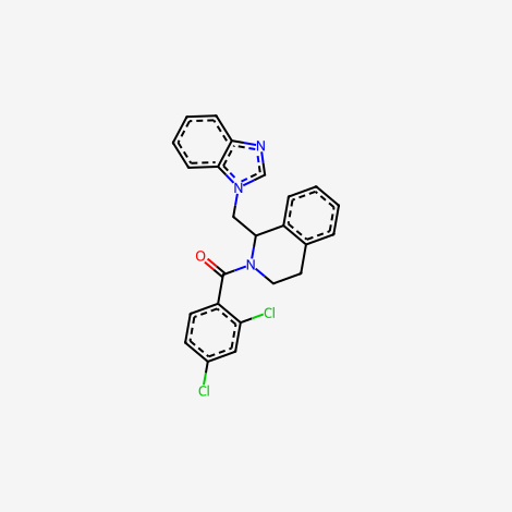 O=C(c1ccc(Cl)cc1Cl)N1CCc2ccccc2C1Cn1cnc2ccccc21